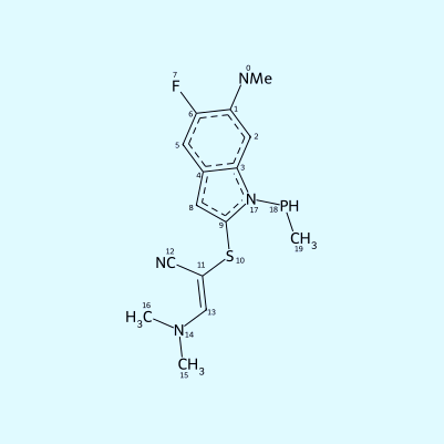 CNc1cc2c(cc1F)cc(S/C(C#N)=C/N(C)C)n2PC